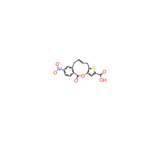 O=C(O)c1cc2c(s1)C/C=C/Cc1cc([N+](=O)[O-])ccc1C(=O)O2